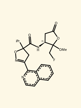 COC1(CF)OC(=O)C[C@@H]1NC(=O)C1(C(C)C)CC(c2nccc3ccccc23)=NO1